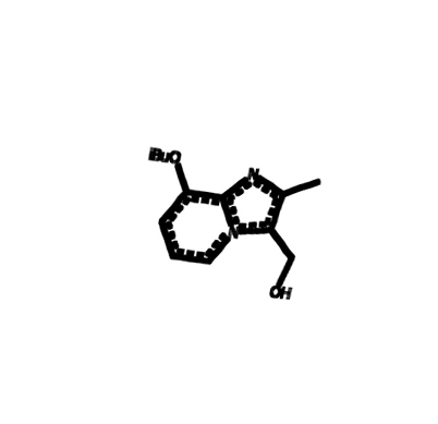 Cc1nc2c(OCC(C)C)cccn2c1CO